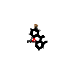 C=C(c1ccccc1C)c1cc(Br)ccc1OC(C)C